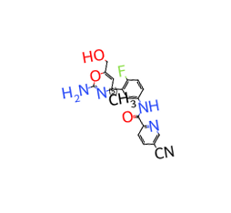 C[C@@]1(c2cc(NC(=O)c3ccc(C#N)cn3)ccc2F)C=C(CO)OC(N)=N1